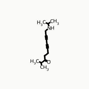 CC(C)NCC#CC#CCCC(=O)C(C)C